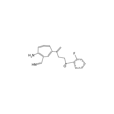 C=C(CCC(=O)c1ccccc1F)C1=CC(C=N)=C(N)C=C=C1